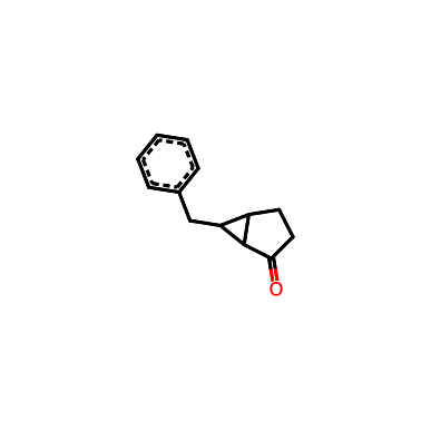 O=C1CCC2C(Cc3ccccc3)C12